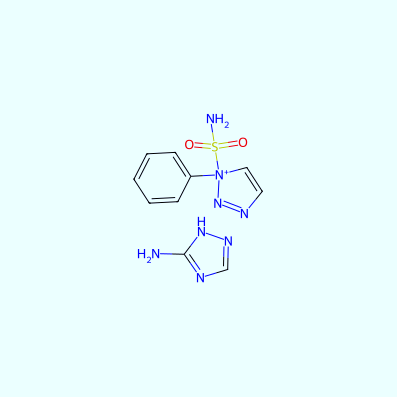 NS(=O)(=O)[N+]1(c2ccccc2)C=CN=N1.Nc1ncn[nH]1